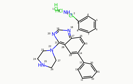 Cl.Cl.Clc1ccccc1.N.c1ccc(-c2ccc3ncnc(N4CCNCC4)c3c2)cc1